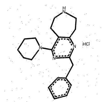 Cl.c1ccc(Cc2nc3c(c(N4CCCCC4)n2)CCNCC3)cc1